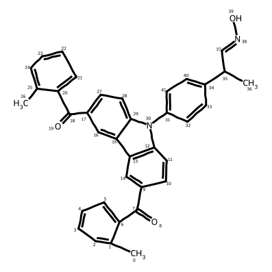 Cc1ccccc1C(=O)c1ccc2c(c1)c1cc(C(=O)c3ccccc3C)ccc1n2-c1ccc(C(C)C=NO)cc1